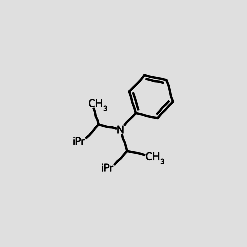 CC(C)C(C)N(c1ccccc1)C(C)C(C)C